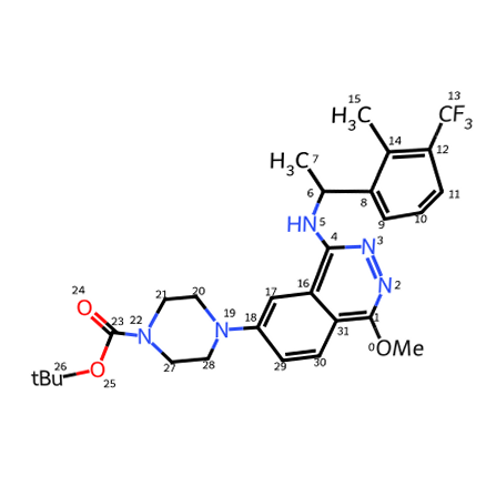 COc1nnc(NC(C)c2cccc(C(F)(F)F)c2C)c2cc(N3CCN(C(=O)OC(C)(C)C)CC3)ccc12